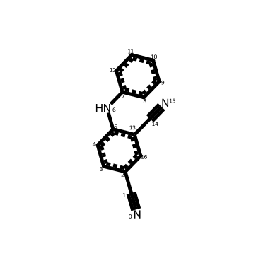 N#Cc1ccc(Nc2ccccc2)c(C#N)c1